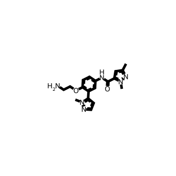 Cc1cc(C(=O)Nc2ccc(OCCN)c(-c3ccnn3C)c2)n(C)n1